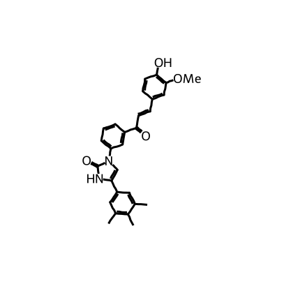 COc1cc(C=CC(=O)c2cccc(-n3cc(-c4cc(C)c(C)c(C)c4)[nH]c3=O)c2)ccc1O